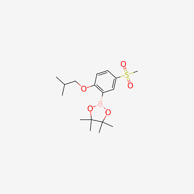 CC(C)COc1ccc(S(C)(=O)=O)cc1B1OC(C)(C)C(C)(C)O1